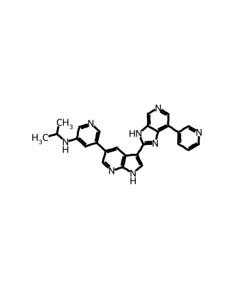 CC(C)Nc1cncc(-c2cnc3[nH]cc(-c4nc5c(-c6cccnc6)cncc5[nH]4)c3c2)c1